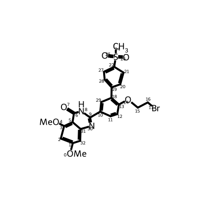 COc1cc(OC)c2c(=O)[nH]c(-c3ccc(OCCBr)c(-c4ccc(S(C)(=O)=O)cc4)c3)nc2c1